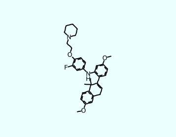 COc1ccc2c(c1)CC=C(c1ccc(OC)cc1Nc1ccc(OCCN3CCCCC3)c(F)c1)C2(C)C